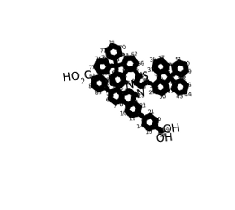 O=C(O)c1ccc(-c2ccc3c4ccc(-c5ccc(C(O)O)cc5)cc4c4nc5c(-c6cccc7c6-c6ccccc6C7(c6ccccc6)c6ccccc6)sc(-c6cccc7c6-c6ccccc6C7(c6ccccc6)c6ccccc6)c5nc4c3c2)cc1